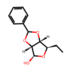 CC[C@H]1O[C@@H](O)[C@@H]2OC(c3ccccc3)O[C@@H]21